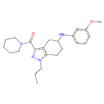 CCCn1nc(C(=O)N2CCCCC2)c2c1CCC(Nc1cccc(OC)c1)C2